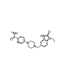 CCn1c(=O)[nH]c2cc(CN3CCN(c4ccc(C(=O)NC)nc4)CC3)ccc21